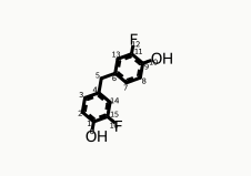 Oc1ccc(Cc2ccc(O)c(F)c2)cc1F